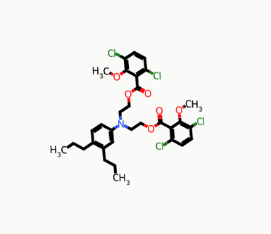 CCCc1ccc(N(CCOC(=O)c2c(Cl)ccc(Cl)c2OC)CCOC(=O)c2c(Cl)ccc(Cl)c2OC)cc1CCC